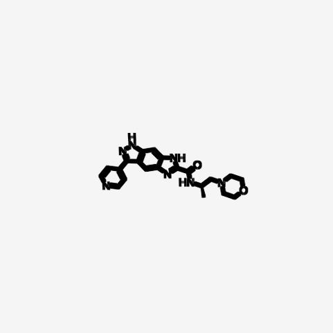 C[C@H](CN1CCOCC1)NC(=O)c1nc2cc3c(-c4ccncc4)n[nH]c3cc2[nH]1